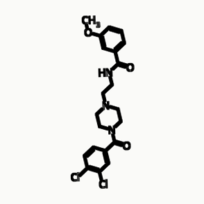 COc1cccc(C(=O)NCCN2CCN(C(=O)c3ccc(Cl)c(Cl)c3)CC2)c1